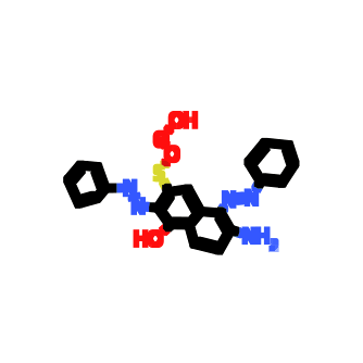 Nc1ccc2c(O)c(N=Nc3ccccc3)c(SOOO)cc2c1N=Nc1ccccc1